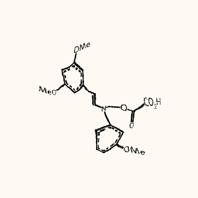 COc1cc(C=CN(OC(=O)C(=O)O)c2cccc(OC)c2)cc(OC)c1